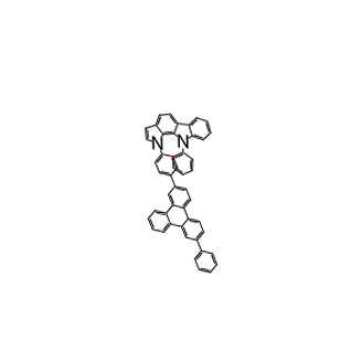 c1ccc(-c2ccc3c4ccc(-c5ccc(-n6ccc7ccc8c9ccccc9n(-c9ccccc9)c8c76)cc5)cc4c4ccccc4c3c2)cc1